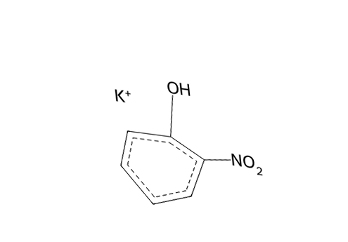 O=[N+]([O-])c1ccccc1O.[K+]